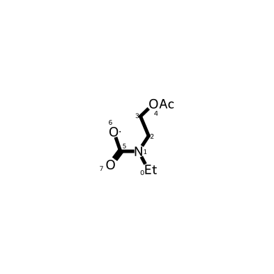 CCN(CCOC(C)=O)C([O])=O